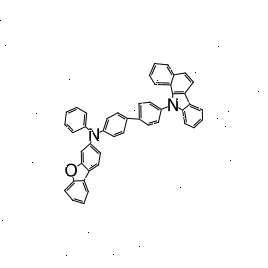 c1ccc(N(c2ccc(-c3ccc(-n4c5ccccc5c5ccc6ccccc6c54)cc3)cc2)c2ccc3c(c2)oc2ccccc23)cc1